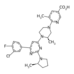 Cc1cc(C(=O)O)cnc1N1CCN(c2cc(-c3ccc(F)c(Cl)c3)nc(N3CCC[C@H]3C)n2)[C@H](C)C1